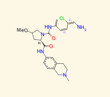 C=C(/C=C\C(Cl)=C/N)NC(=O)N1CC(OC)C[C@@H]1C(=O)Nc1ccc2c(c1)CCN(C)C2